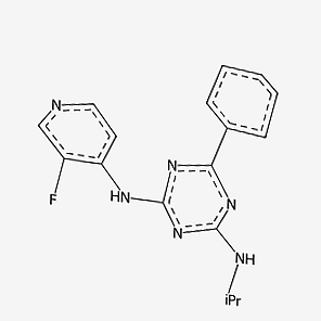 CC(C)Nc1nc(Nc2ccncc2F)nc(-c2ccccc2)n1